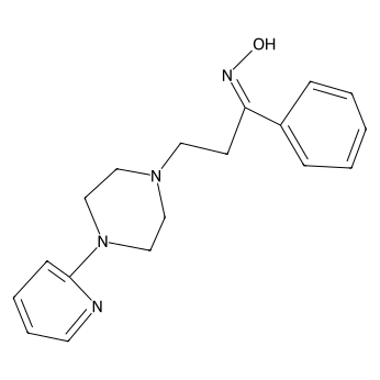 ON=C(CCN1CCN(c2ccccn2)CC1)c1ccccc1